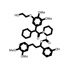 COc1ccc(CCC(OC(=O)[C@H]2CCCCN2C(=O)C(c2cc(OC)c(OC)c(OCCO)c2)C2CCCCC2)c2cccc(O)c2)cc1OC